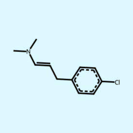 CN(C)C=CCc1ccc(Cl)cc1